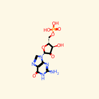 Nc1nc2c(ncn2[C@@H]2O[C@H](COP(=O)(O)O)[C@@H](O)C2=O)c(=O)[nH]1